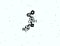 COC(CC#N)Cn1cccc1C(=O)Nc1nc(C2CCCN2c2ccccc2)cs1